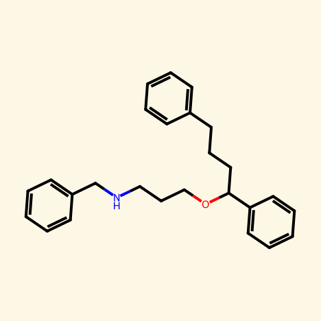 c1ccc(CCCC(OCCCNCc2ccccc2)c2ccccc2)cc1